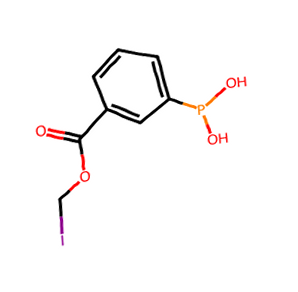 O=C(OCI)c1cccc(P(O)O)c1